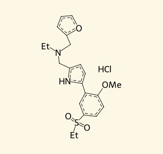 CCN(Cc1ccc(-c2cc(S(=O)(=O)CC)ccc2OC)[nH]1)Cc1ccco1.Cl